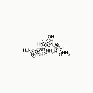 CC[C@H](C)[C@H](NC(=O)CNC(=O)[C@H](CCC(N)=O)NC(=O)[C@@H]1CCCN1C(=O)CN)C(=O)N1C[C@H](O)C[C@H]1C(=O)NCC(=O)N[C@@H](CCC(N)=O)C(=O)O